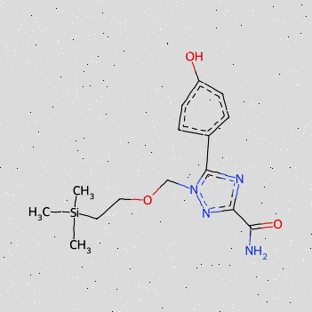 C[Si](C)(C)CCOCn1nc(C(N)=O)nc1-c1ccc(O)cc1